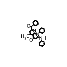 Cc1cc(C(=O)c2ccccc2)nc2c1c(=O)cc(Nc1ccccc1)n2-c1ccccc1